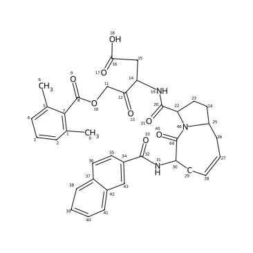 Cc1cccc(C)c1C(=O)OCC(=O)C(CC(=O)O)NC(=O)C1CCC2CC=CCC(NC(=O)c3ccc4ccccc4c3)C(=O)N21